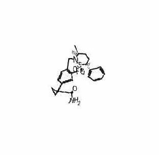 C[C@H]1CC[C@H](c2ccccc2)S(=O)(=O)N1Cc1ccc(C2(C(N)=O)CC2)cc1F